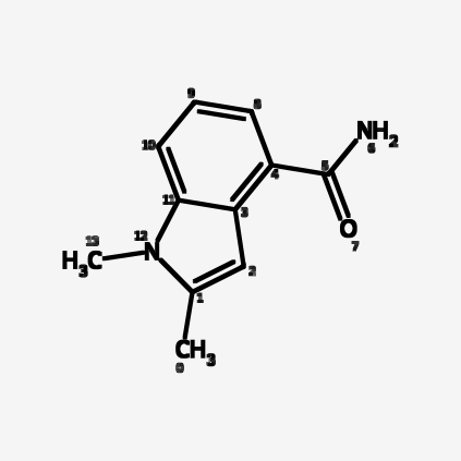 Cc1cc2c(C(N)=O)cccc2n1C